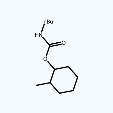 CCCCNC(=O)OC1CCCCC1C